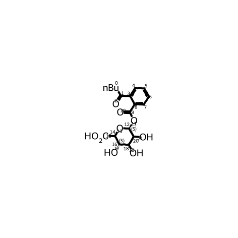 CCCCC(=O)c1ccccc1C(=O)O[C@@H]1OC(C(=O)O)[C@@H](O)C(O)C1O